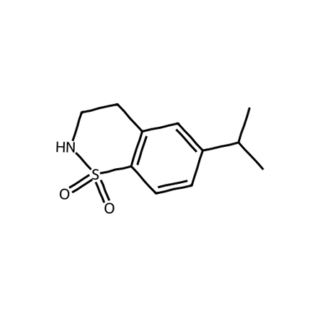 CC(C)c1ccc2c(c1)CCNS2(=O)=O